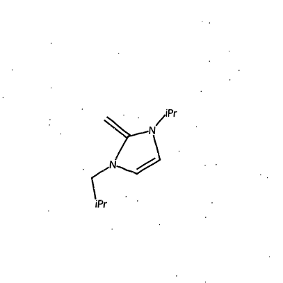 C=C1N(CC(C)C)C=CN1C(C)C